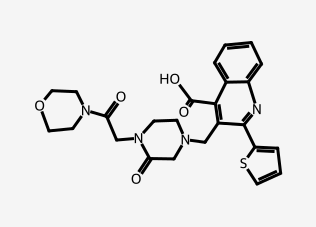 O=C(O)c1c(CN2CCN(CC(=O)N3CCOCC3)C(=O)C2)c(-c2cccs2)nc2ccccc12